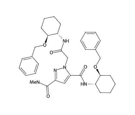 CNC(=O)c1cc(C(=O)N[C@H]2CCCC[C@@H]2OCc2ccccc2)n(CC(=O)N[C@H]2CCCC[C@@H]2OCc2ccccc2)n1